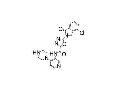 O=C(Nc1cnccc1N1CCNCC1)c1nnc(N2Cc3c(Cl)cccc3C2=O)o1